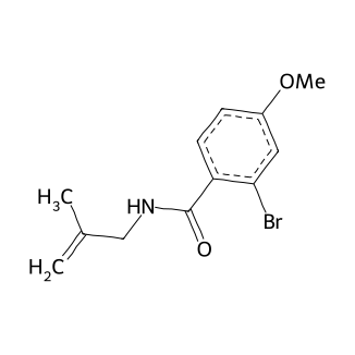 C=C(C)CNC(=O)c1ccc(OC)cc1Br